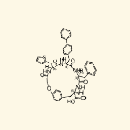 O=C1COc2ccc(cc2)C[C@@H](C(=O)O)NC(=O)[C@H](Cc2ccccc2)NC(=O)[C@@H](Cc2ccc(-c3ccccc3)cc2)NC(=O)[C@@H](Cc2cccs2)N1